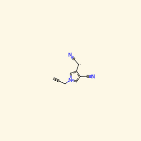 C#CCn1cc(C#N)c([CH]C#N)c1